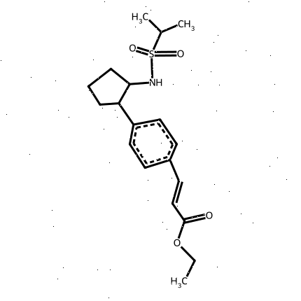 CCOC(=O)C=Cc1ccc(C2CCCC2NS(=O)(=O)C(C)C)cc1